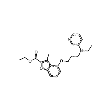 CCOC(=O)c1oc2cccc(OCCCN(CC)c3cccnc3)c2c1C